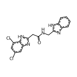 O=C(Cc1nc2cc(Cl)cc(Cl)c2[nH]1)NCc1nc2ccccc2[nH]1